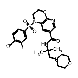 CC(C)(CN1CCOCC1)NC(=O)c1cnc2c(c1)N(S(=O)(=O)c1ccc(Cl)c(Cl)c1)CCO2